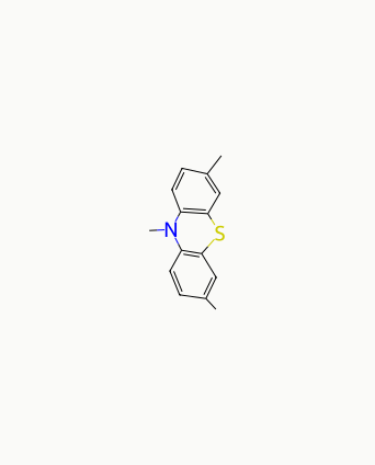 Cc1ccc2c(c1)Sc1cc(C)ccc1N2C